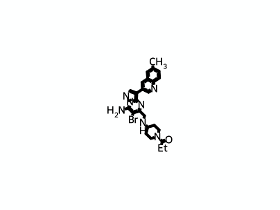 CCC(=O)N1CCC(NCc2nc3c(-c4cnc5ccc(C)cc5c4)cnn3c(N)c2Br)CC1